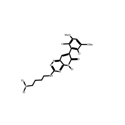 CCN(CC)CCCCNc1nnc2cc(-c3c(Cl)c(OC)cc(OC)c3Cl)c(=O)n(CC)c2n1